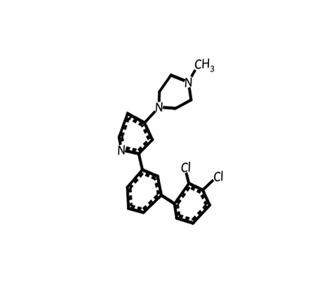 CN1CCN(c2ccnc(-c3cccc(-c4cccc(Cl)c4Cl)c3)c2)CC1